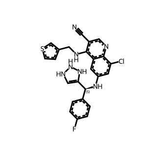 N#Cc1cnc2c(Cl)cc(N[C@H](C3=CNNN3)c3ccc(F)cc3)cc2c1NCc1ccsc1